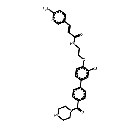 Nc1ccc(C=CC(=O)NCCOc2ccc(-c3ccc(C(=O)N4CCNCC4)cc3)cc2Cl)cn1